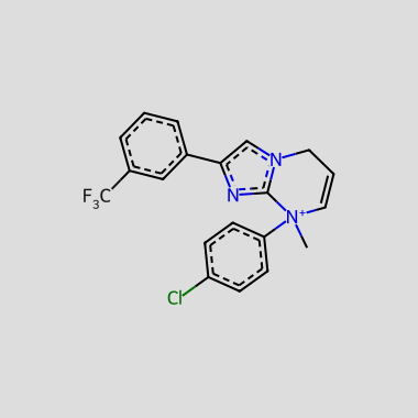 C[N+]1(c2ccc(Cl)cc2)C=CCn2cc(-c3cccc(C(F)(F)F)c3)nc21